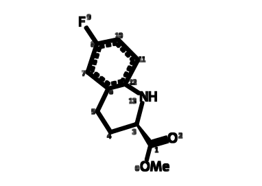 COC(=O)[C@H]1CCc2cc(F)ccc2N1